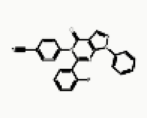 N#Cc1ccc(-n2c(-c3ccccc3F)nc3c(cnn3-c3ccccc3)c2=O)cc1